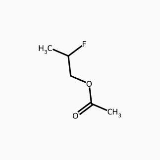 CC(=O)OCC(C)F